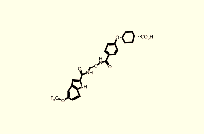 O=C(NCCNC(=O)c1cc2cc(OC(F)(F)F)ccc2[nH]1)c1ccc(O[C@H]2CC[C@@H](C(=O)O)CC2)cc1